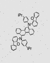 CC(C)c1ccc(N(c2cc3c4ccccc4c(N(c4ccc(C(C)C)cc4)c4cccc5c4oc4ccccc45)cc3c3ccccc23)c2cccc3c4c(oc23)C=C=C=C4)cc1